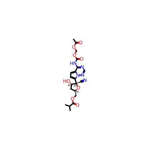 CC(=O)OCOC(=O)Nc1ncnn2c([C@]3(C#N)O[C@@H](COC(=O)C(C)C)[CH][C@H]3O)ccc12